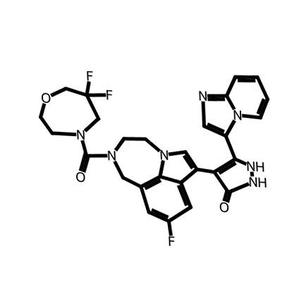 O=C(N1CCn2cc(-c3c(-c4cnc5ccccn45)[nH][nH]c3=O)c3cc(F)cc(c32)C1)N1CCOCC(F)(F)C1